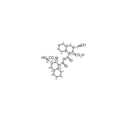 C#Cc1cc2ccccc2c(C(=O)OC(=O)c2c(C(=O)O)c(C#C)cc3ccccc23)c1C(=O)O